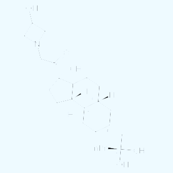 CCC[C@@](C)(O)C[C@@H]1CC[C@@H]2[C@H](CC[C@]3(C)[C@@H](C(=O)CN4CC(O)C4)CC[C@@H]23)C1